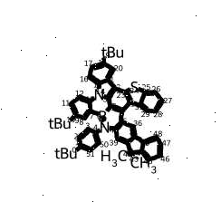 CC(C)(C)c1ccc(N2B3c4cc(C(C)(C)C)ccc4-n4c5ccc(C(C)(C)C)cc5c5c6sc7ccccc7c6c(c3c54)-c3cc4c(cc32)C(C)(C)c2ccccc2-4)cc1